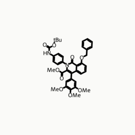 COC(=O)c1c(-c2cc(OC)c(OC)c(OC)c2)c2cccc(OCc3ccccc3)c2c(=O)n1-c1ccc(NC(=O)OC(C)(C)C)cc1